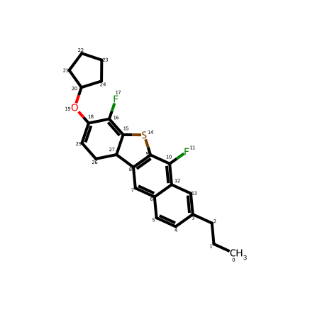 CCCc1ccc2cc3c(c(F)c2c1)SC1=C(F)C(OC2CCCC2)=CCC13